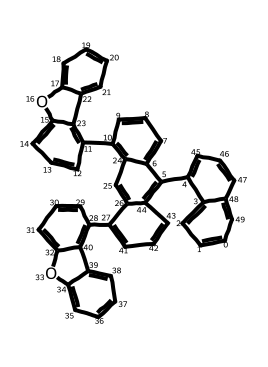 c1ccc2c(-c3c4cccc(-c5cccc6oc7ccccc7c56)c4cc4c(-c5cccc6oc7ccccc7c56)cccc34)cccc2c1